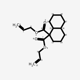 C=CCOC(=O)C1(C(=O)OCC=C)CCCC2CCCCC21